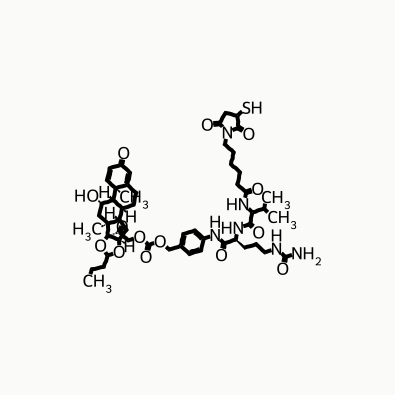 CCCC1O[C@@H]2C[C@H]3[C@@H]4CCC5=CC(=O)C=C[C@]5(C)[C@H]4[C@@H](O)C[C@]3(C)[C@]2(C(=O)COC(=O)OCc2ccc(NC(=O)[C@H](CCCNC(N)=O)NC(=O)C(NC(=O)CCCCCN3C(=O)CC(S)C3=O)C(C)C)cc2)O1